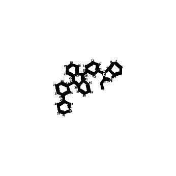 CCc1nc2ccccc2n1-c1cccc(-c2c3ccccc3c(-c3cccc(-c4cccnc4)c3)c3ccccc23)c1